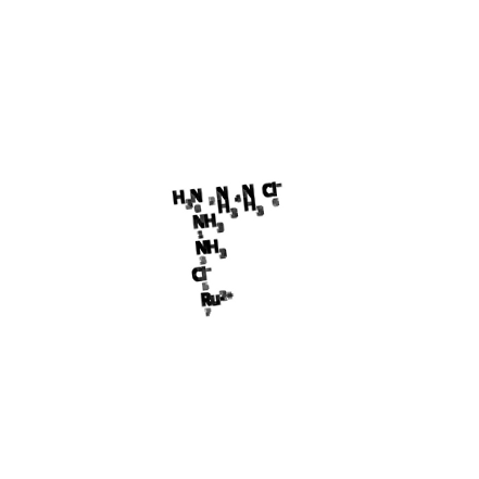 N.N.N.N.N.[Cl-].[Cl-].[Ru+2]